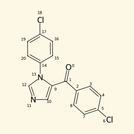 O=C(c1ccc(Cl)cc1)c1cncn1-c1ccc(Cl)cc1